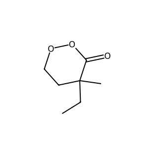 CCC1(C)CCOOC1=O